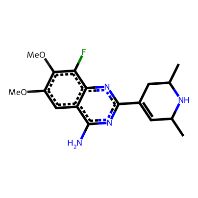 COc1cc2c(N)nc(C3=CC(C)NC(C)C3)nc2c(F)c1OC